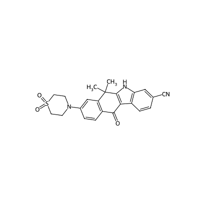 CC1(C)c2cc(N3CCS(=O)(=O)CC3)ccc2C(=O)c2c1[nH]c1cc(C#N)ccc21